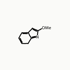 COC1=CC2=CC=CCC2=N1